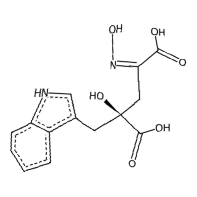 O=C(O)C(C[C@@](O)(Cc1c[nH]c2ccccc12)C(=O)O)=NO